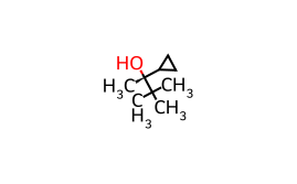 CC(C)(C)[C@](C)(O)C1CC1